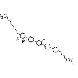 CCCCCCCCCc1ccc(-c2ccc(-c3ccc(C4=CCC(C5CCC(CCCCC)CC5)CC4)c(F)c3)cc2)c(F)c1F